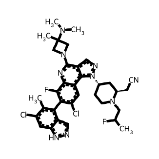 Cc1c(Cl)cc2[nH]ncc2c1-c1c(Cl)cc2c(nc(N3CC(C)(N(C)C)C3)c3cnn([C@H]4CCN(CC(C)F)[C@H](CC#N)C4)c32)c1F